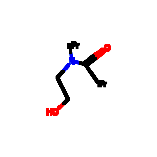 CCCN(CCO)C(=O)C(C)C